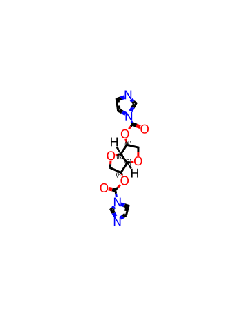 O=C(O[C@H]1CO[C@H]2[C@@H]1OC[C@H]2OC(=O)n1ccnc1)n1ccnc1